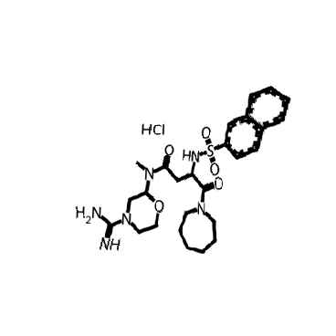 CN(C(=O)CC(NS(=O)(=O)c1ccc2ccccc2c1)C(=O)N1CCCCCC1)C1CN(C(=N)N)CCO1.Cl